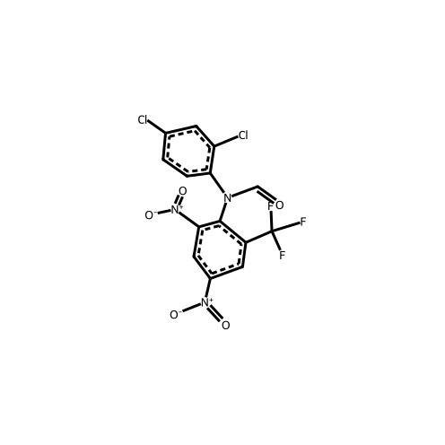 O=CN(c1ccc(Cl)cc1Cl)c1c([N+](=O)[O-])cc([N+](=O)[O-])cc1C(F)(F)F